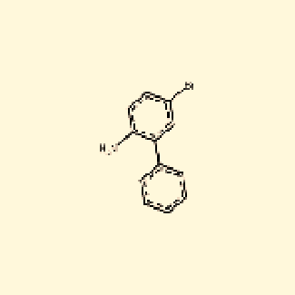 Nc1ccc(Br)cc1-c1[c]cccc1